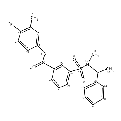 Cc1cc(NC(=O)c2cccc(S(=O)(=O)N(C)C(C)c3ccccc3)c2)ccc1F